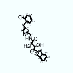 O=C(NCc1ncc(Cc2ccccc2Cl)s1)[C@H](O)[C@@H](O)C(=O)N1Cc2ccccc2C1